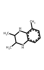 Cc1cccc2c1NC(C)C(C)N2